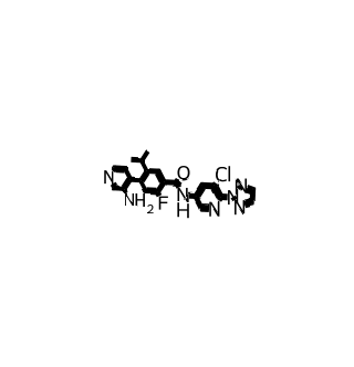 CC(C)c1cc(C(=O)Nc2cnc(-n3nccn3)c(Cl)c2)c(F)cc1-c1ccncc1N